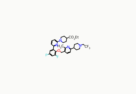 CCOC(=O)C1CCN(c2cccc(-c3cc(F)cc(F)c3OCc3ccc(C4CCN(CC(F)(F)F)CC4)nc3C)n2)CC1